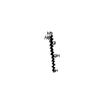 O=C(CCCCCCCC(O)CCCCCCCCCO)OCC(O)CO